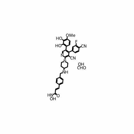 COc1ccc(-c2cnc(N3CCC(NCc4ccc(/C=C/C(=O)NO)cc4)CC3)c(C#N)c2-c2ccc(C#N)c(F)c2)c(O)c1O.O=CO